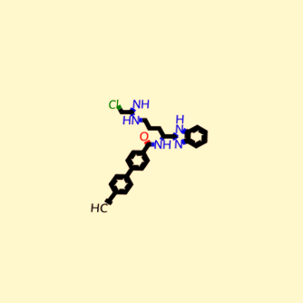 C#Cc1ccc(-c2ccc(C(=O)NC(CCCNC(=N)CCl)c3nc4ccccc4[nH]3)cc2)cc1